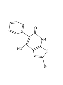 O=c1[nH]c2sc(Br)cc2c(O)c1-c1ccccc1